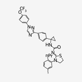 CCCc1ccc(C)cc1N1CCS/C1=N\C(=O)NC1(c2ccc(-c3ncn(-c4ccc(OC(F)(F)F)cc4)n3)cc2)CC1